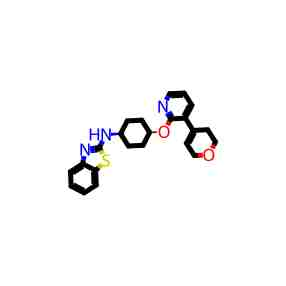 C1=C(c2cccnc2O[C@H]2CC[C@H](Nc3nc4ccccc4s3)CC2)CCOC1